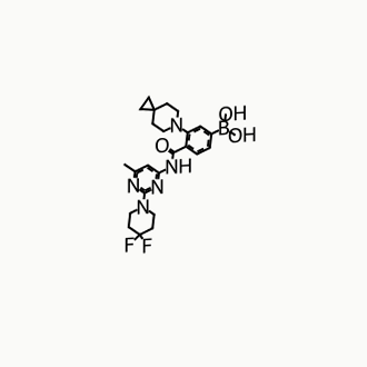 Cc1cc(NC(=O)c2ccc(B(O)O)cc2N2CCC3(CC2)CC3)nc(N2CCC(F)(F)CC2)n1